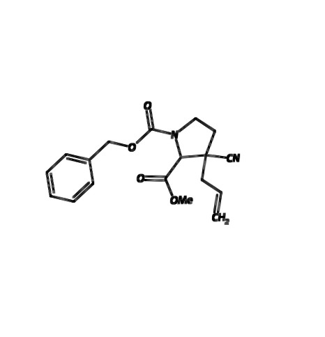 C=CCC1(C#N)CCN(C(=O)OCc2ccccc2)C1C(=O)OC